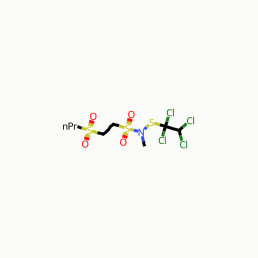 CCCS(=O)(=O)CCS(=O)(=O)N(C)SC(Cl)(Cl)C(Cl)Cl